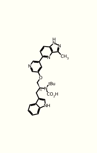 Cc1n[nH]c2ccc(-c3cncc(OC[C@H](Cc4c[nH]c5ccccc45)N(C(=O)O)C(C)(C)C)c3)nc12